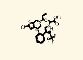 C=CC(=O)N1Cc2sc(Cl)cc2[C@H](c2ccccc2-c2cn(C(C)C(=O)O)nc2C(F)(F)F)C1